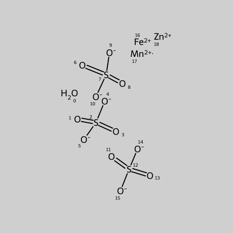 O.O=S(=O)([O-])[O-].O=S(=O)([O-])[O-].O=S(=O)([O-])[O-].[Fe+2].[Mn+2].[Zn+2]